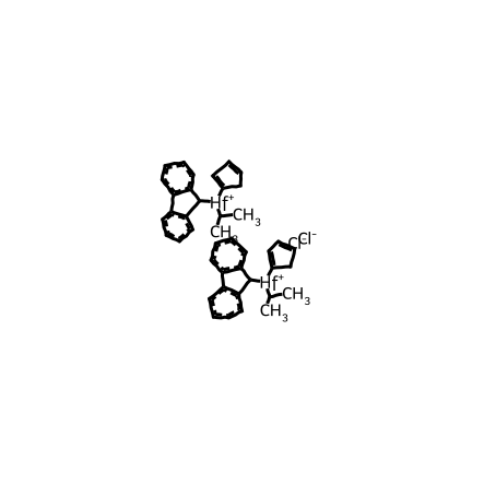 C[CH](C)[Hf+]([C]1=CC=CC1)[CH]1c2ccccc2-c2ccccc21.C[CH](C)[Hf+]([C]1=CC=CC1)[CH]1c2ccccc2-c2ccccc21.[Cl-].[Cl-]